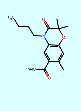 COC(=O)c1cc2c(cc1C)OC(C)(C)C(=O)N2CCCC(F)(F)F